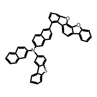 c1ccc2cc(N(c3ccc4cc(-c5cccc6oc7c(ccc8c9ccccc9oc87)c56)ccc4c3)c3ccc4sc5ccccc5c4c3)ccc2c1